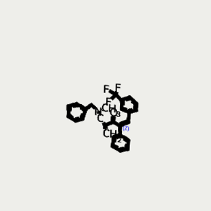 C=C(CN(C)Cc1ccccc1)C(=O)/C(=C\c1cccc(C(F)(F)F)c1)c1ccccc1